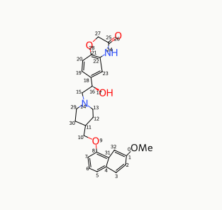 COc1ccc2cccc(OCC3CCN(C[C@H](O)c4ccc5c(c4)NC(=O)CO5)CC3)c2c1